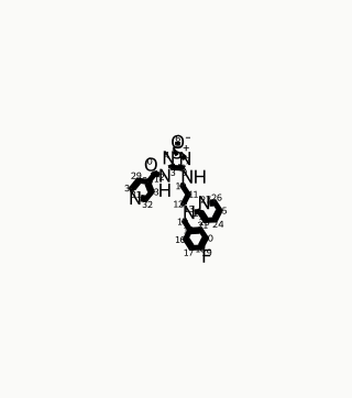 O=C(Nc1n[s+]([O-])nc1NCCCN(Cc1ccc(F)cc1)c1ccccn1)c1ccncc1